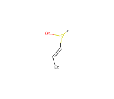 [CH]CC=C[S+](C)[O-]